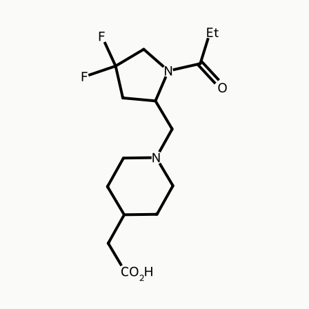 CCC(=O)N1CC(F)(F)CC1CN1CCC(CC(=O)O)CC1